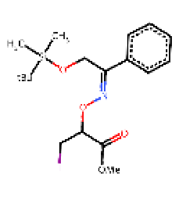 COC(=O)C(CI)ON=C(CO[Si](C)(C)C(C)(C)C)c1ccccc1